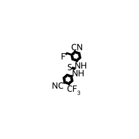 N#Cc1ccc(NC(=S)Nc2ccc(C#N)c(C(F)(F)F)c2)cc1CF